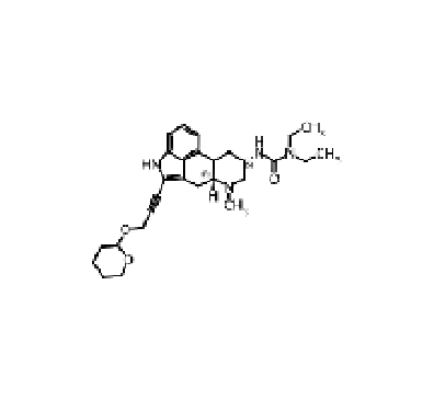 CCN(CC)C(=O)N[C@H]1CC2c3cccc4[nH]c(C#CCOC5CCCCO5)c(c34)C[C@H]2N(C)C1